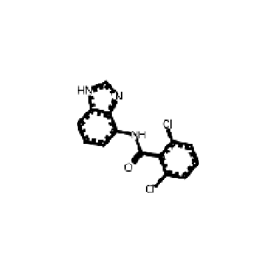 O=C(Nc1cccc2[nH]cnc12)c1c(Cl)cccc1Cl